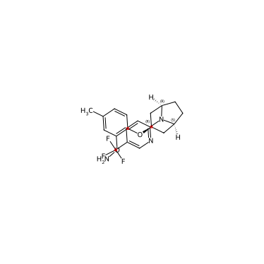 Cc1ccc(O[C@H]2C[C@H]3CC[C@@H](C2)N3c2ccc(C(F)(F)F)cn2)c(ON)c1